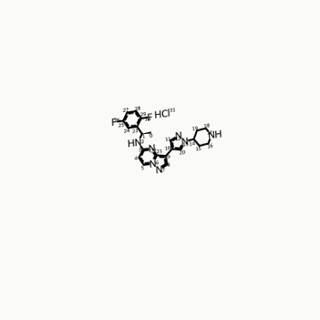 C[C@@H](Nc1ccn2ncc(-c3cnn(C4CCNCC4)c3)c2n1)c1cc(F)ccc1F.Cl